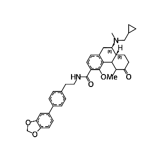 COc1c(C(=O)NCCc2ccc(-c3ccc4c(c3)OCO4)cc2)ccc2c1C1C(C)C(=O)CC[C@H]1[C@H](N(C)CC1CC1)C2